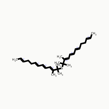 C/C=C/CC/C=C/C=C/C=C(\C)C(C)(C)SC(C)(C)/C(C)=C/C=C/C=C/CC/C=C/C